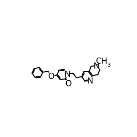 CN1CCc2ncc(CCn3ccc(OCc4ccccc4)cc3=O)cc2C1